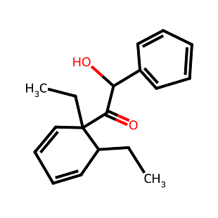 CCC1C=CC=CC1(CC)C(=O)C(O)c1ccccc1